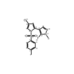 Cc1ccc(S(=O)(=O)n2cc(Cl)cc2-c2cnn(C)c2F)cc1